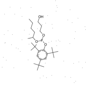 CCCCC(C)OP(OCCCO)Oc1c(C(C)(C)C)cc(C(C)(C)C)cc1C(C)(C)C